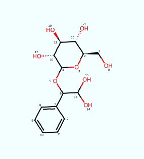 OC[C@H]1OC(OC(c2ccccc2)C(O)O)[C@H](O)[C@@H](O)[C@@H]1O